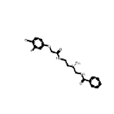 O=C(COc1ccc(Cl)c(F)c1)NCC[C@H](O)CNC(=O)c1ccccc1